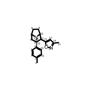 Cc1ccc([C@H]2CC3CCC(C2c2cc(C)no2)N3C)cc1